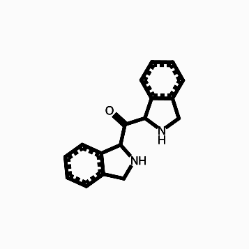 O=C(C1NCc2ccccc21)C1NCc2ccccc21